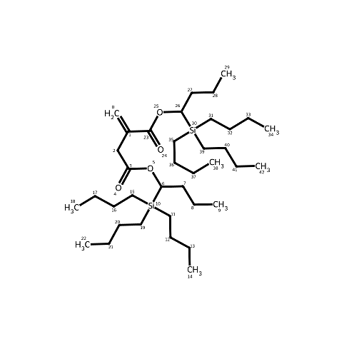 C=C(CC(=O)OC(CCC)[Si](CCCC)(CCCC)CCCC)C(=O)OC(CCC)[Si](CCCC)(CCCC)CCCC